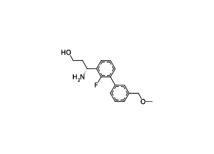 COCc1cccc(-c2cccc([C@H](N)CCO)c2F)c1